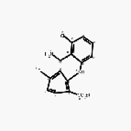 CCOC(=O)c1ccc(F)cc1Nc1cccc(Cl)c1CN